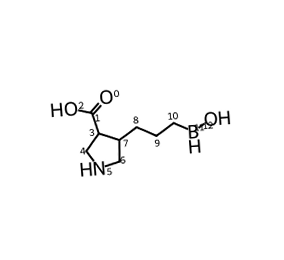 O=C(O)C1CNCC1CCCBO